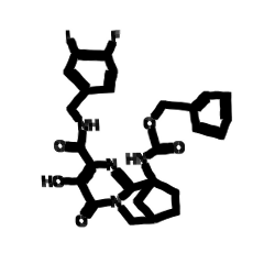 O=C(NC12CCC(Cn3c1nc(C(=O)NCc1ccc(F)c(I)c1)c(O)c3=O)C2)OCc1ccccc1